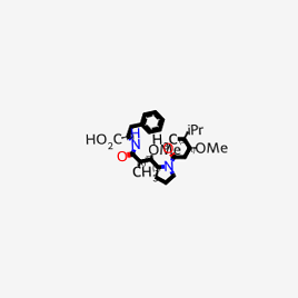 CO[C@H]([C@@H](C)C(=O)N[C@@H](Cc1ccccc1)C(=O)O)[C@@H]1CCCN1C(=O)C[C@@H](OC)[C@@H](C)C(C)C